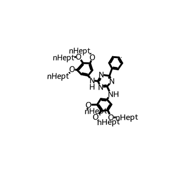 CCCCCCCOc1cc(Nc2nc(Nc3cc(OCCCCCCC)c(OCCCCCCC)c(OCCCCCCC)c3)nc(-c3cc[c]cc3)n2)cc(OCCCCCCC)c1OCCCCCCC